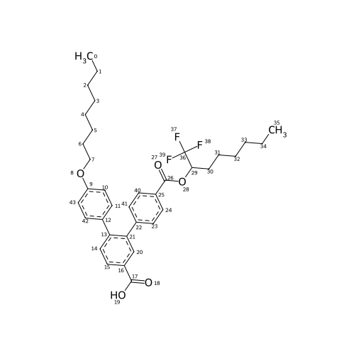 CCCCCCCCOc1ccc(-c2ccc(C(=O)O)cc2-c2ccc(C(=O)OC(CCCCCC)C(F)(F)F)cc2)cc1